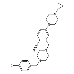 N#Cc1ccc(N2CCN(C3CC3)CC2)cc1CN1CCN(Cc2ccc(Cl)cc2)CC1